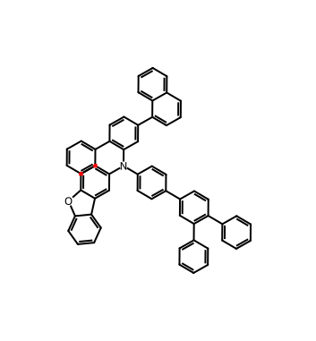 c1ccc(-c2ccc(-c3ccc(N(c4ccc5oc6ccccc6c5c4)c4cc(-c5cccc6ccccc56)ccc4-c4ccccc4)cc3)cc2-c2ccccc2)cc1